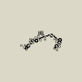 C[C@@H]1OCC2(CCN(c3cnc(Sc4cccc(NC(=O)CCC(=O)NCCCN5CCN(CCCNc6cccc7cnn(C8CCC(=O)NC8=O)c(=O)c67)CC5)c4Cl)c(N)n3)CC2)[C@@H]1N.Cl.Cl.Cl